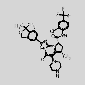 C[C@@H]1C[C@@H](C(=O)Nc2ccc(C(F)(F)F)cc2Cl)n2c1c(N1CCNCC1)c(=O)n1nc(-c3ccc4c(c3)COC4(C)C)nc21